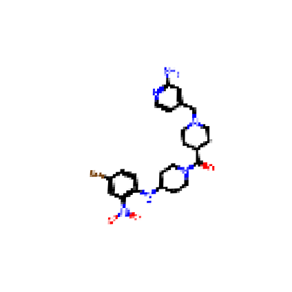 Nc1cc(CN2CCC(C(=O)N3CCC(Nc4ccc(Br)cc4[N+](=O)[O-])CC3)CC2)ccn1